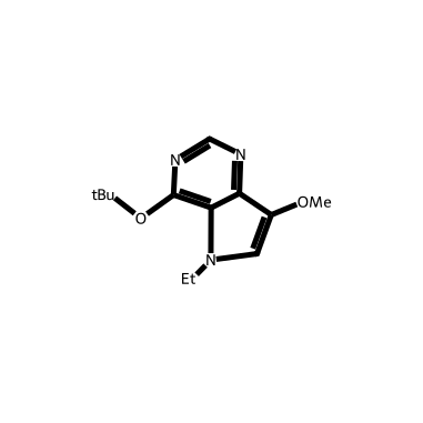 CCn1cc(OC)c2ncnc(OC(C)(C)C)c21